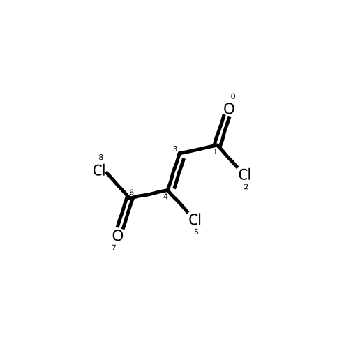 O=C(Cl)C=C(Cl)C(=O)Cl